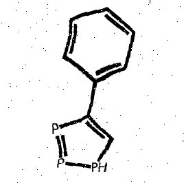 c1ccc(-c2c[pH]pp2)cc1